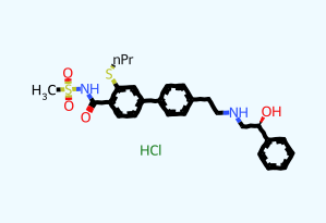 CCCSc1cc(-c2ccc(CCNC[C@@H](O)c3ccccc3)cc2)ccc1C(=O)NS(C)(=O)=O.Cl